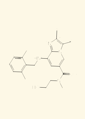 Cc1cccc(C)c1CNc1cc(C(=O)N(C)CCO)cn2c(C)c(C)nc12